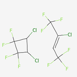 FC(F)(F)C=C(Cl)C(F)(F)F.FC1(F)C(Cl)C(Cl)C1(F)F